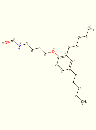 CCCCCc1ccc(OCCCCN[C]=O)c(CCCCC)c1